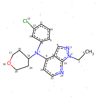 CCn1ncc2c(N(c3cccc(Cl)c3)C3CCOCC3)ccnc21